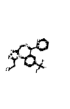 FC(F)(F)c1ccc2c(c1)C(c1ccccn1)=NCc1nnc(CCl)n1-2